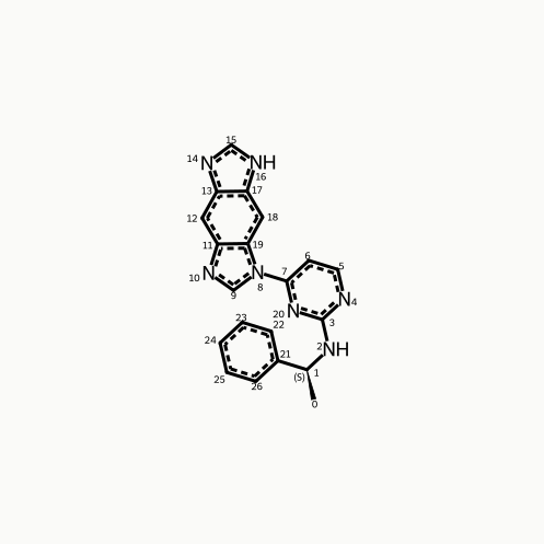 C[C@H](Nc1nccc(-n2cnc3cc4nc[nH]c4cc32)n1)c1ccccc1